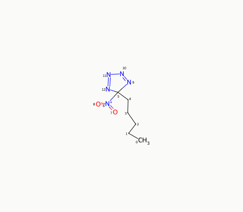 CCCCCC1([N+](=O)[O-])N=NN=N1